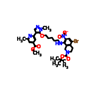 COC(=O)c1cc(C)nc(-c2cnn(C)c2OCCCCCNc2c([N+](=O)[O-])cc(Br)c3c2CN(C(=O)OC(C)(C)C)CC3)c1